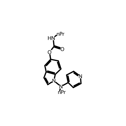 CCCNC(=O)Oc1ccc2c(ccn2N(CCC)c2ccncc2)c1